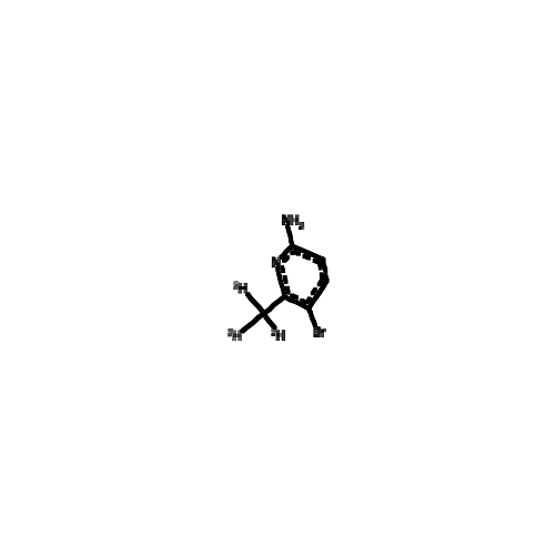 [2H]C([2H])([2H])c1nc(N)ccc1Br